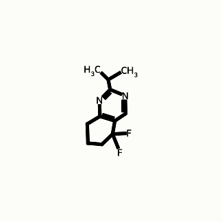 CC(C)c1ncc2c(n1)CCCC2(F)F